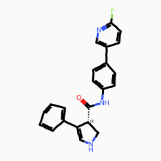 O=C(Nc1ccc(-c2ccc(F)nc2)cc1)[C@@H]1CNC=C1c1ccccc1